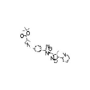 Cc1c(-c2nc(-c3ccc(CN4CC(C(=O)OC(C)(C)C)C4)cc3)no2)noc1-c1ccccn1